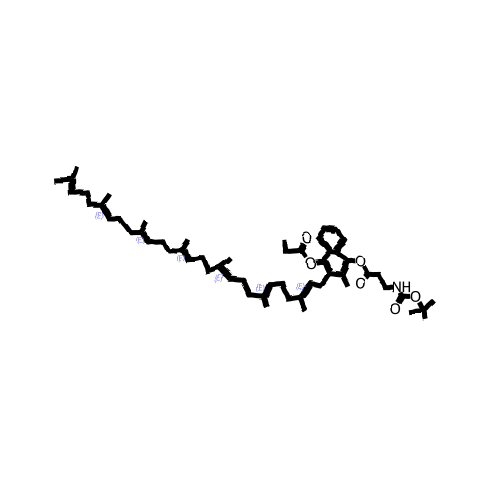 CCC(=O)Oc1c(C/C=C(\C)CC/C=C(\C)CC/C=C(\C)CC/C=C(\C)CC/C=C(\C)CC/C=C(\C)CCC=C(C)C)c(C)c(OC(=O)CCNC(=O)OC(C)(C)C)c2ccccc12